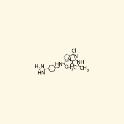 CC(C)Nc1nc(Cl)c2n(c1=O)[C@H](C(=O)NCc1ccc(C(=N)N)cc1)CC2